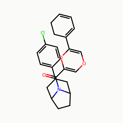 O=C(C1=COC=C(C2=CC=CCC2)O1)N1C2CCC1CC(c1ccc(Cl)cc1)C2